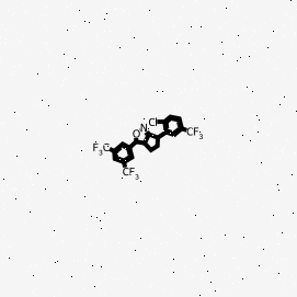 FC(F)(F)c1cc(C2ON=C3C(c4cc(C(F)(F)F)ccc4Cl)CCC32)cc(C(F)(F)F)c1